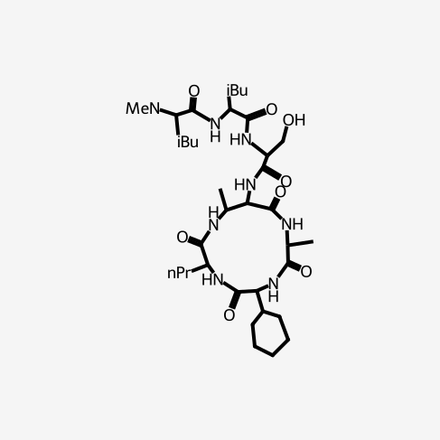 CCCC1NC(=O)C(C2CCCCC2)NC(=O)C(C)NC(=O)C(NC(=O)C(CO)NC(=O)C(NC(=O)C(NC)C(C)CC)C(C)CC)C(C)NC1=O